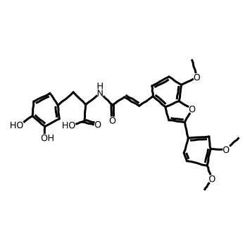 COc1ccc(-c2cc3c(C=CC(=O)NC(Cc4ccc(O)c(O)c4)C(=O)O)ccc(OC)c3o2)cc1OC